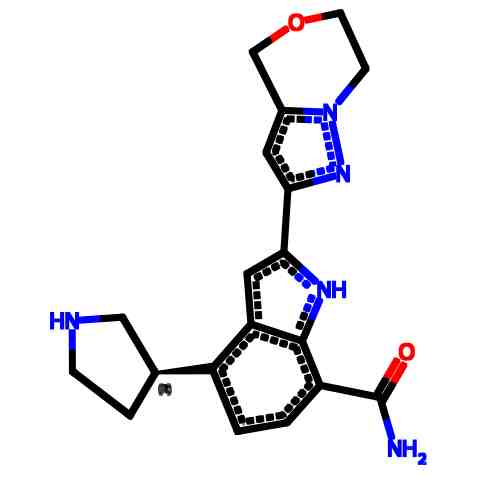 NC(=O)c1ccc([C@H]2CCNC2)c2cc(-c3cc4n(n3)CCOC4)[nH]c12